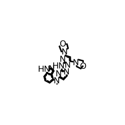 CN(c1ccnc(Nc2nc(N3CCOCC3)cc(N3CCOCC3)n2)n1)c1cccc2[nH]ncc12